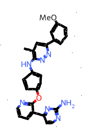 COc1cccc(-c2cc(C)c(Nc3ccc(Oc4ncccc4-c4ccnc(N)n4)cc3)nn2)c1